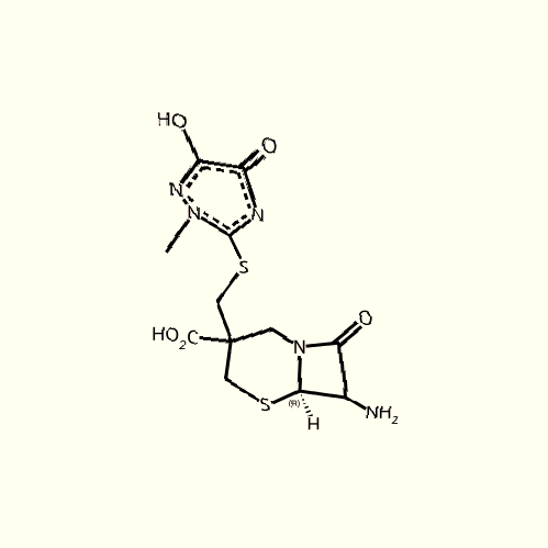 Cn1nc(O)c(=O)nc1SCC1(C(=O)O)CS[C@@H]2C(N)C(=O)N2C1